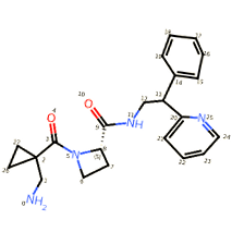 NCC1(C(=O)N2CC[C@H]2C(=O)NCC(c2ccccc2)c2ccccn2)CC1